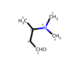 CC(C[C]=O)N(C)C